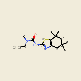 CN(CC=O)C(=O)Nc1nc2c(s1)C(C)(C)CC(C)(C)C2